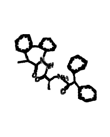 CC1C(=O)N(NC(=O)[C@H](C)NC(=O)C(c2ccccc2)c2ccccc2)c2ccccc2-c2ccccc21